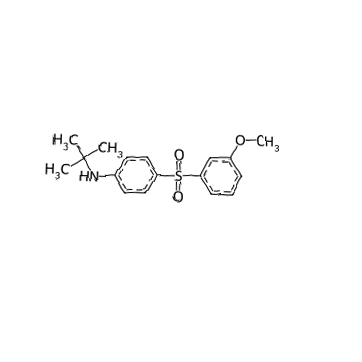 COc1cccc(S(=O)(=O)c2ccc(NC(C)(C)C)cc2)c1